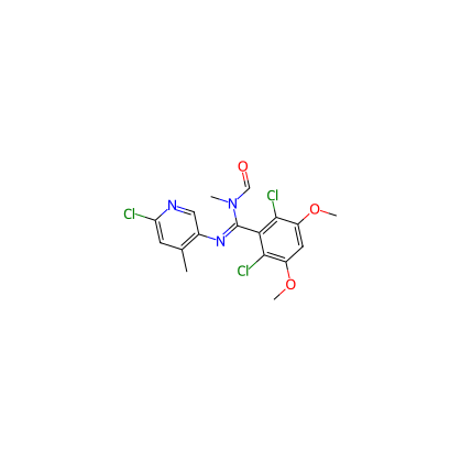 COc1cc(OC)c(Cl)c(/C(=N/c2cnc(Cl)cc2C)N(C)C=O)c1Cl